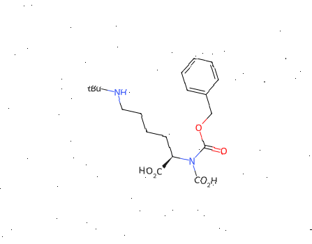 CC(C)(C)NCCCC[C@H](C(=O)O)N(C(=O)O)C(=O)OCc1ccccc1